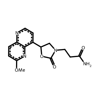 COc1ccc2nccc(C3CN(CCC(N)=O)C(=O)O3)c2n1